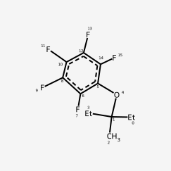 CCC(C)(CC)Oc1c(F)c(F)c(F)c(F)c1F